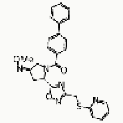 CON=C1C[C@@H](c2nc(CSc3ccccn3)no2)N(C(=O)c2ccc(-c3ccccc3)cc2)C1